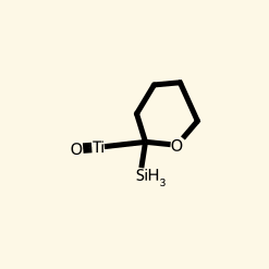 [O]=[Ti][C]1([SiH3])CCCCO1